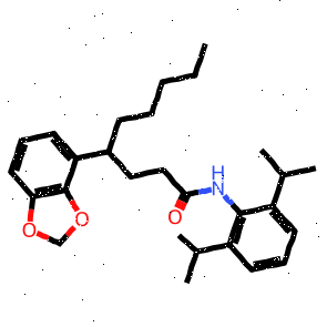 CCCCCC(CCC(=O)Nc1c(C(C)C)cccc1C(C)C)c1cccc2c1OCO2